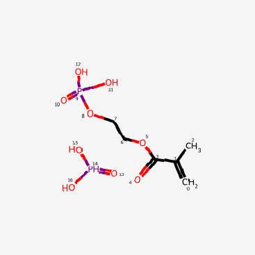 C=C(C)C(=O)OCCOP(=O)(O)O.O=[PH](O)O